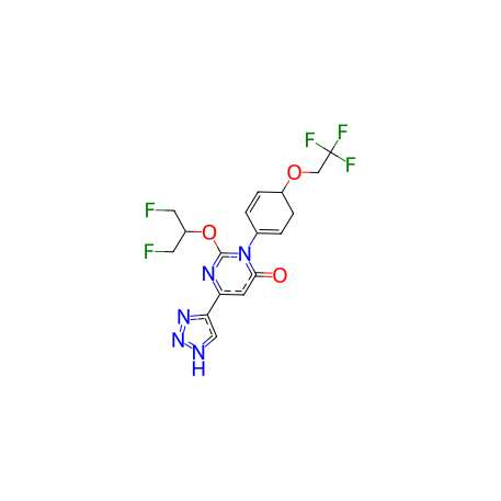 O=c1cc(-c2c[nH]nn2)nc(OC(CF)CF)n1C1=CCC(OCC(F)(F)F)C=C1